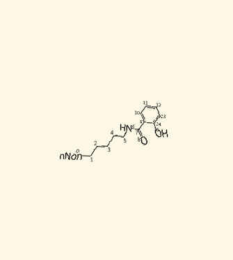 CCCCCCCCCCCCCCNC(=O)c1ccccc1O